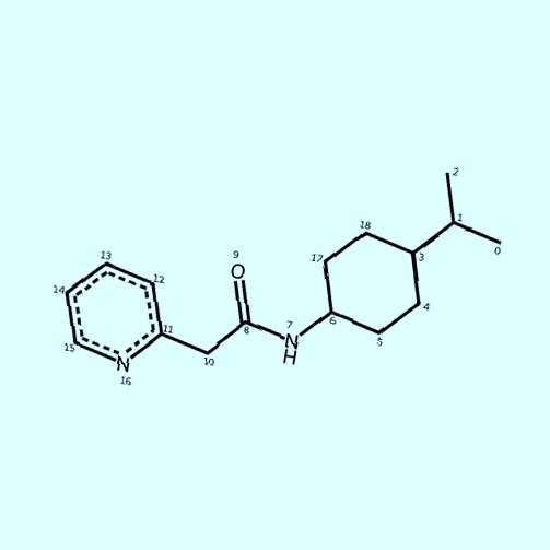 CC(C)C1CCC(NC(=O)Cc2ccccn2)CC1